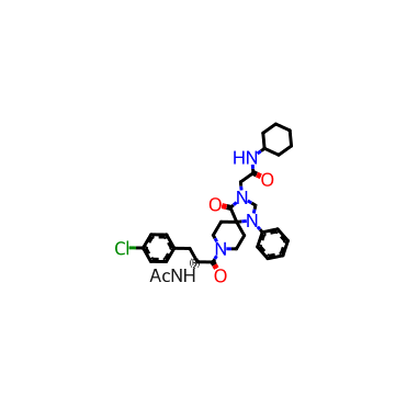 CC(=O)N[C@H](Cc1ccc(Cl)cc1)C(=O)N1CCC2(CC1)C(=O)N(CC(=O)NC1CCCCC1)CN2c1ccccc1